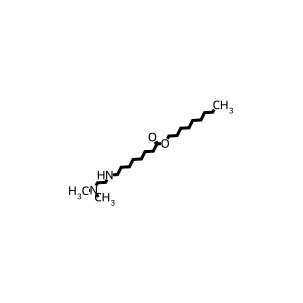 CCCCCCCCCOC(=O)CCCCCCCNCCN(C)C